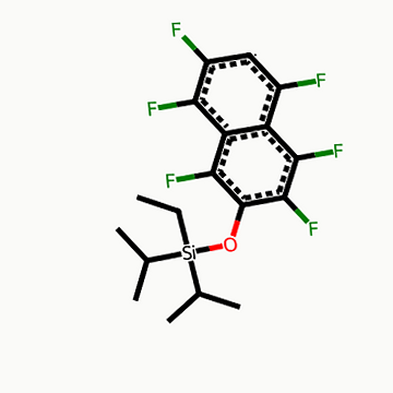 CC[Si](Oc1c(F)c(F)c2c(F)[c]c(F)c(F)c2c1F)(C(C)C)C(C)C